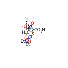 CCN(CC)S(=O)(=O)N1CC(SC2=C(C(=O)O)N3C(=O)[C@H]([C@@H](C)O)[C@H]3[C@H]2C)C1